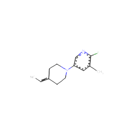 Cc1cc(N2CCC(=CC#N)CC2)cnc1F